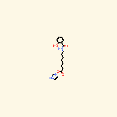 O=C(CCCCCCCNC(=O)c1ccccc1O)ON1C=CNC1